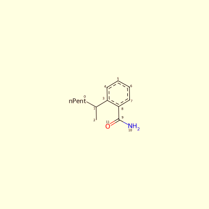 CCCCCC(C)c1ccccc1C(N)=O